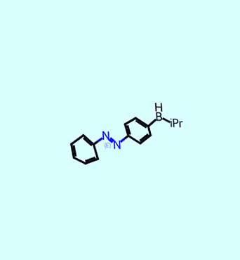 CC(C)Bc1ccc(/N=N/c2ccccc2)cc1